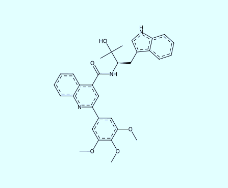 COc1cc(-c2cc(C(=O)N[C@H](Cc3c[nH]c4ccccc34)C(C)(C)O)c3ccccc3n2)cc(OC)c1OC